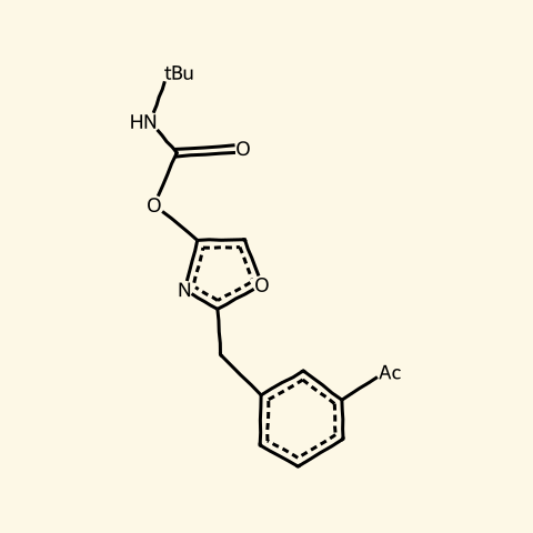 CC(=O)c1cccc(Cc2nc(OC(=O)NC(C)(C)C)co2)c1